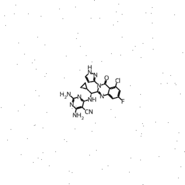 N#Cc1c(N)nc(N)nc1N[C@H](c1nc2cc(F)cc(Cl)c2c(=O)n1-c1cc[nH]n1)C1CC1